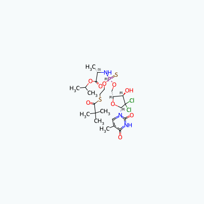 Cc1cn([C@@H]2O[C@H](CO[P@](=S)(N[C@@H](C)C(=O)OC(C)C)OCCSC(=O)C(C)(C)C)[C@@H](O)C2(Cl)Cl)c(=O)[nH]c1=O